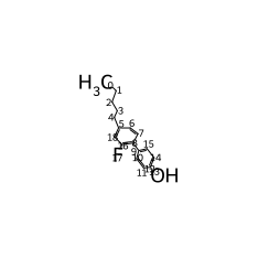 CCCCCc1ccc(-c2ccc(O)cc2)c(F)c1